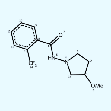 COC1CCN(NC(=O)c2ccccc2C(F)(F)F)C1